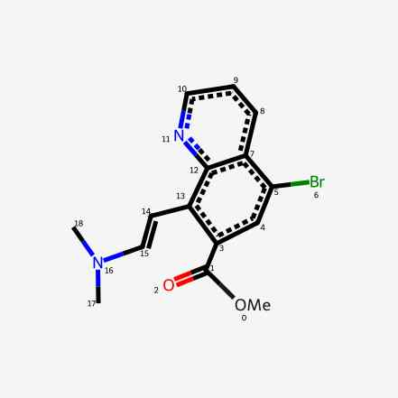 COC(=O)c1cc(Br)c2cccnc2c1/C=C/N(C)C